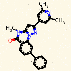 Cc1cc(-c2cc3n(C)c(=O)c4ccc(-c5ccccc5)cc4n3n2)cc(C)n1